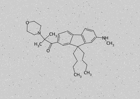 CCCCC1(CCCC)c2cc(NC)ccc2-c2ccc(C(=O)C(C)(C)N3CCOCC3)cc21